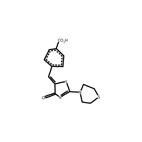 O=C1N=C(N2CCSCC2)SC1=Cc1ccc(C(=O)O)cc1